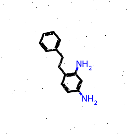 Nc1ccc(CCc2ccccc2)c(N)c1